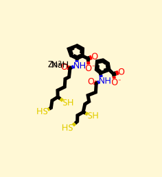 O=C(CCCCC(S)CCS)Nc1ccccc1C(=O)[O-].O=C(CCCCC(S)CCS)Nc1ccccc1C(=O)[O-].[NaH].[Zn+2]